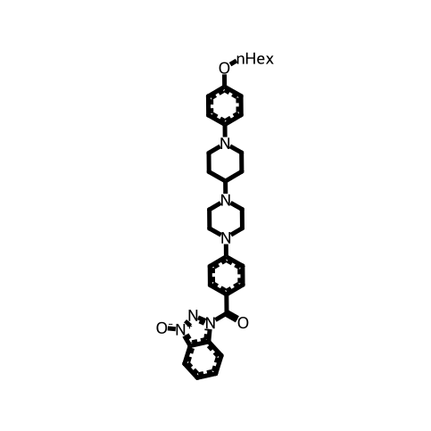 CCCCCCOc1ccc(N2CCC(N3CCN(c4ccc(C(=O)n5n[n+]([O-])c6ccccc65)cc4)CC3)CC2)cc1